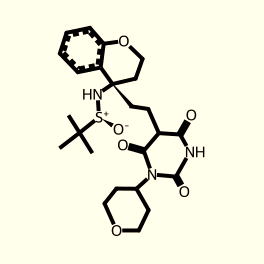 CC(C)(C)[S@+]([O-])N[C@@]1(CCC2C(=O)NC(=O)N(C3CCOCC3)C2=O)CCOc2ccccc21